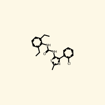 CCc1cccc(CC)c1NC(=O)Nc1sc(C)nc1-c1ccccc1Cl